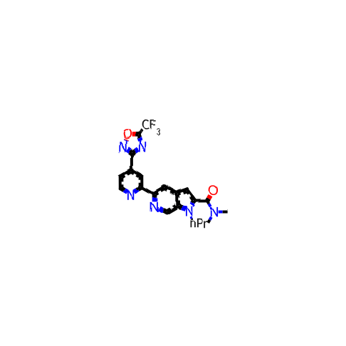 CCCn1c(C(=O)N(C)C)cc2cc(-c3cc(-c4noc(C(F)(F)F)n4)ccn3)ncc21